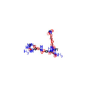 CC(C)C(NC(=O)CCOCCOCCOCCOCCN1C(=O)C=CC1=O)C(=O)N[C@@H](CCCNC(N)=O)C(=O)Nc1ccc(COC(=O)NCCCOc2ccc3c(c2)OCCN(C)c2ccncc2NC(=O)c2nc-3cnc2N)cc1